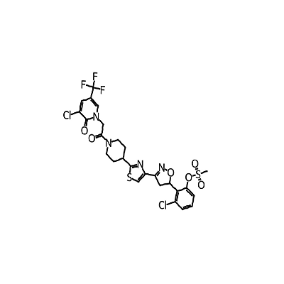 CS(=O)(=O)Oc1cccc(Cl)c1C1CC(c2csc(C3CCN(C(=O)Cn4cc(C(F)(F)F)cc(Cl)c4=O)CC3)n2)=NO1